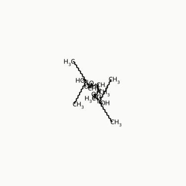 CCCCCCCCCCCCC(O)CN(CCN(C)C(=O)CCN(C)CCN(C)CCC(=O)N(C)CCN(CC(O)CCCCCCCCCCCC)CC(O)CCCCCCCCCCCC)CC(O)CCCCCCCCCCCC